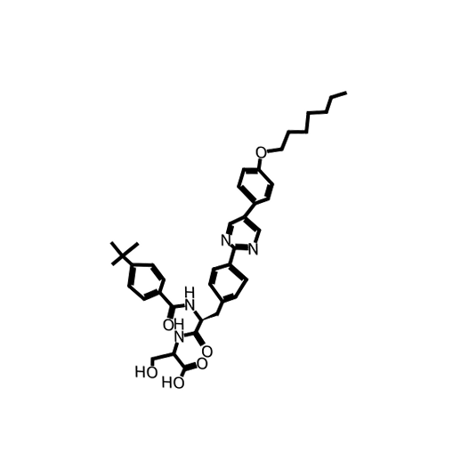 CCCCCCCOc1ccc(-c2cnc(-c3ccc(C[C@H](NC(=O)c4ccc(C(C)(C)C)cc4)C(=O)NC(CO)C(=O)O)cc3)nc2)cc1